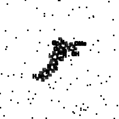 COc1cc(O)cc(C2=CN(C)C(=C=O)C(C(=O)Nc3cccc(Sc4cnc(N5CCC(C)(N)CC5)cn4)c3Cl)=C2O)c1